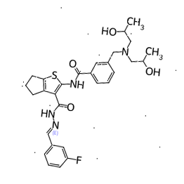 CC(O)CN(Cc1cccc(C(=O)Nc2sc3c(c2C(=O)N/N=C/c2cccc(F)c2)CCC3)c1)CC(C)O